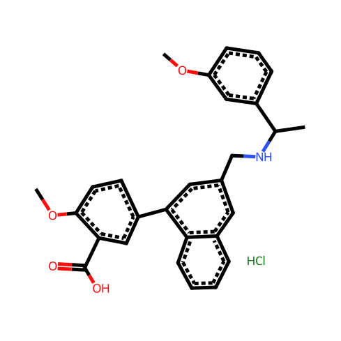 COc1cccc(C(C)NCc2cc(-c3ccc(OC)c(C(=O)O)c3)c3ccccc3c2)c1.Cl